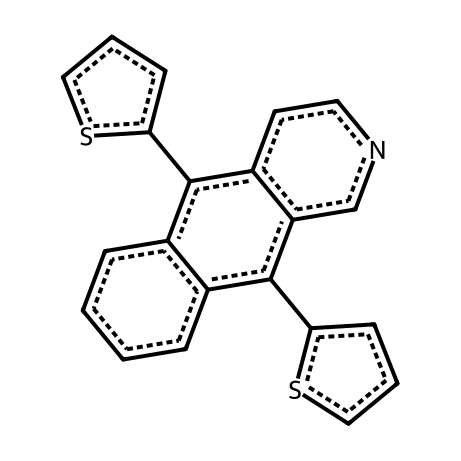 c1csc(-c2c3ccccc3c(-c3cccs3)c3cnccc23)c1